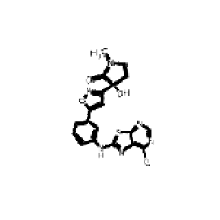 CN1CC[C@](O)(c2cc(-c3cccc(Nc4nc5c(Cl)ncnc5s4)c3)on2)C1=O